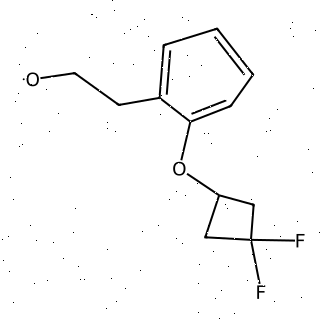 [O]CCc1ccccc1OC1CC(F)(F)C1